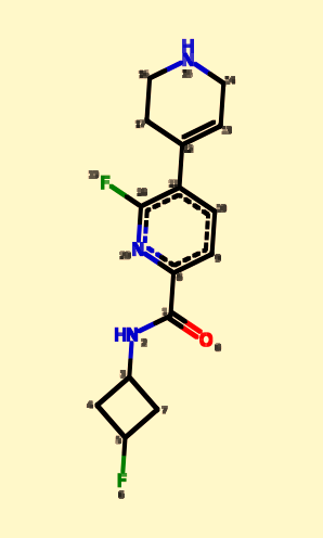 O=C(NC1CC(F)C1)c1ccc(C2=CCNCC2)c(F)n1